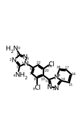 Nc1nc(N)n(-c2cc(Cl)c(-c3nnc4ccccn34)c(Cl)c2)n1